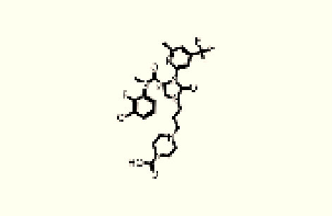 Cc1cc(C(F)(F)F)cc(N2C(=O)N(CCCN3CCN(C(=O)O)CC3)C[C@H]2C(=O)N(C)c2cccc(Cl)c2F)n1